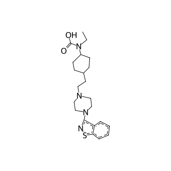 CCN(C(=O)O)C1CCC(CCN2CCN(c3nsc4ccccc34)CC2)CC1